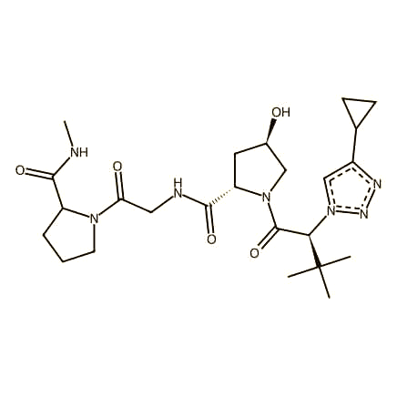 CNC(=O)C1CCCN1C(=O)CNC(=O)[C@@H]1C[C@@H](O)CN1C(=O)[C@@H](n1cc(C2CC2)nn1)C(C)(C)C